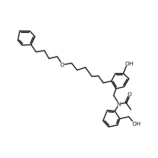 CC(=O)N(Cc1ccc(O)cc1CCCCCCOCCCCc1ccccc1)c1ccccc1CO